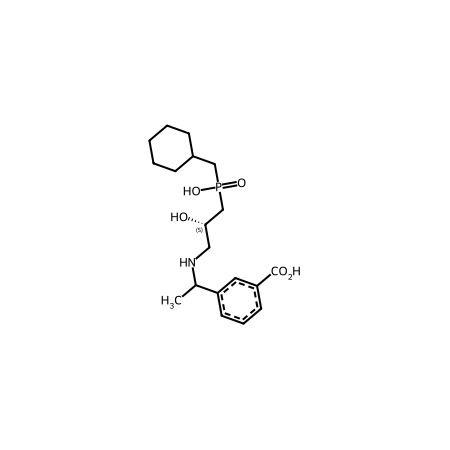 CC(NC[C@H](O)CP(=O)(O)CC1CCCCC1)c1cccc(C(=O)O)c1